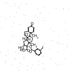 C[C@]12C=CC(=O)C=C1CC[C@H]1[C@@H]3C[C@@H](O)[C@](OC(=O)c4cccc(I)c4)(C(=O)O)[C@@]3(C)CC[C@@]12Cl